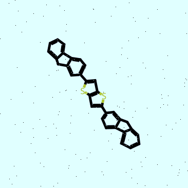 c1ccc2c(c1)Cc1cc(-c3cc4sc(-c5ccc6c(c5)Cc5ccccc5-6)cc4s3)ccc1-2